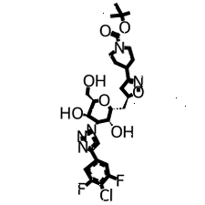 CC(C)(C)OC(=O)N1CCC(C2=NO[C@@H](C[C@H]3O[C@H](CO)[C@H](O)[C@H](n4cc(-c5cc(F)c(Cl)c(F)c5)nn4)[C@H]3O)C2)CC1